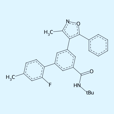 Cc1ccc(-c2cc(C(=O)NC(C)(C)C)cc(-c3c(C)noc3-c3ccccc3)c2)c(F)c1